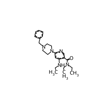 CCNc1cc(N2CCN(Cc3ccccc3)CC2)ncc1C(=O)N(CC)CC